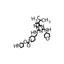 CC(C)c1cnn2c(NCC3CCN(C(=O)OC4CCNC4)CC3)nc(NC3CCOCC3)nc12